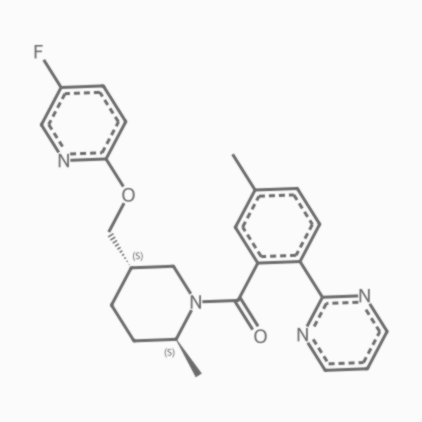 Cc1ccc(-c2ncccn2)c(C(=O)N2C[C@@H](COc3ccc(F)cn3)CC[C@@H]2C)c1